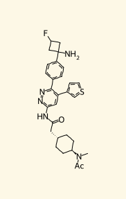 CC(=O)N(C)[C@H]1CC[C@H](CC(=O)Nc2cc(-c3ccsc3)c(-c3ccc(C4(N)CC(F)C4)cc3)nn2)CC1